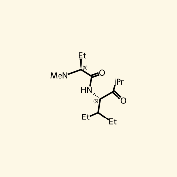 CCC(CC)[C@H](NC(=O)[C@H](CC)NC)C(=O)C(C)C